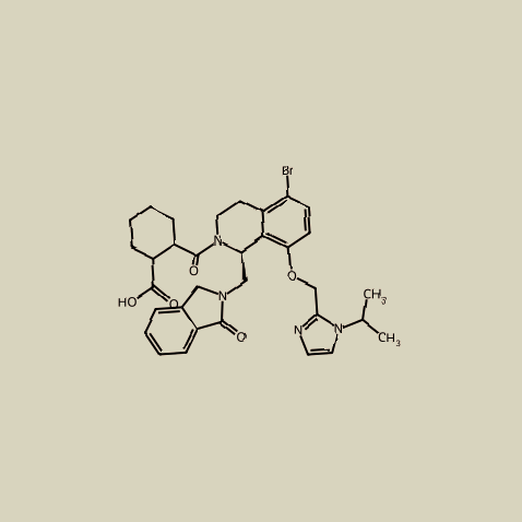 CC(C)n1ccnc1COc1ccc(Br)c2c1[C@@H](CN1Cc3ccccc3C1=O)N(C(=O)C1CCCCC1C(=O)O)CC2